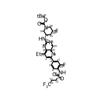 CCc1cc(-c2ccc(NS(=O)(=O)CCC(F)(F)F)c(F)c2)nc2cnc(N[C@H]3C[C@H](F)CN(C(=O)OC(C)(C)C)C3)nc12